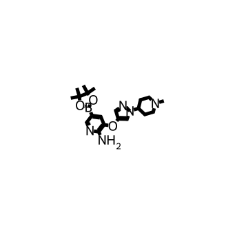 CN1CCC(n2cc(Oc3cc(B4OC(C)(C)C(C)(C)O4)cnc3N)cn2)CC1